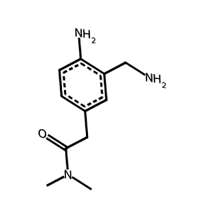 CN(C)C(=O)Cc1ccc(N)c(CN)c1